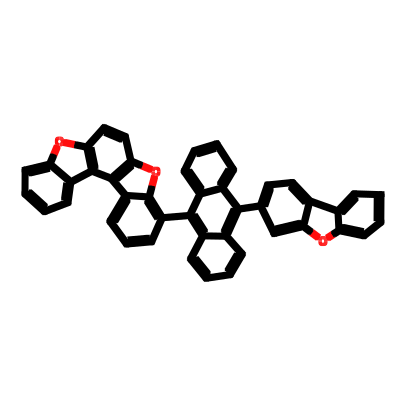 c1ccc2c(c1)oc1cc(-c3c4ccccc4c(-c4cccc5c4oc4ccc6oc7ccccc7c6c45)c4ccccc34)ccc12